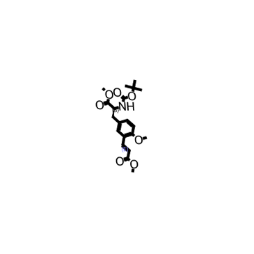 COC(=O)/C=C/c1cc(C[C@H](NC(=O)OC(C)(C)C)C(=O)OC)ccc1OC